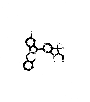 CC1(C)c2cnc(-c3nn(Cc4ccccc4F)c4ncc(F)cc34)nc2NC1C=O